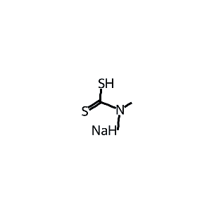 CN(C)C(=S)S.[NaH]